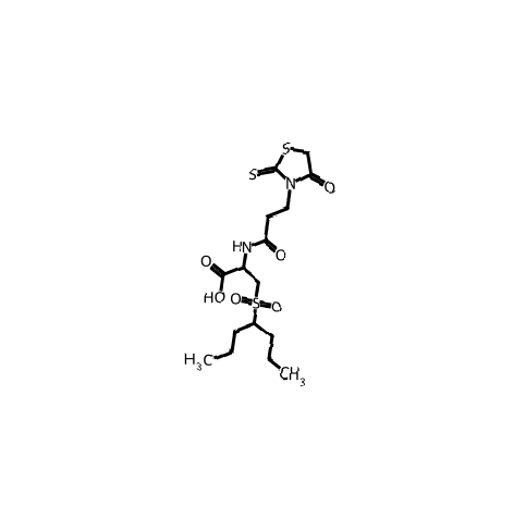 CCCC(CCC)S(=O)(=O)CC(NC(=O)CCN1C(=O)CSC1=S)C(=O)O